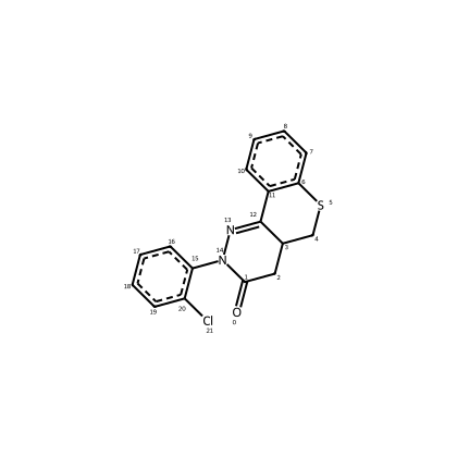 O=C1CC2CSc3ccccc3C2=NN1c1ccccc1Cl